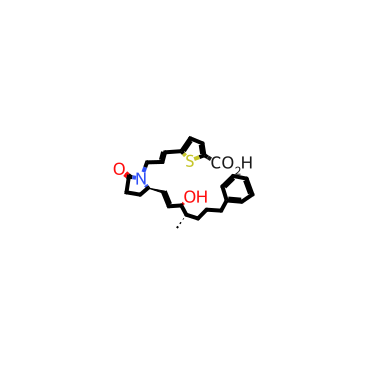 C[C@@H](CCCc1ccccc1)[C@H](O)C=C[C@H]1CCC(=O)N1CC=Cc1ccc(C(=O)O)s1